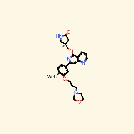 COc1ccc(-c2cc3ncccc3c(OC[C@H]3CNC(=O)C3)n2)cc1OCCCN1CCOCC1